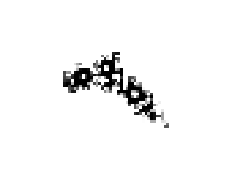 C[C@@H](Oc1ccc(CNC(=O)c2cc(F)cnc2Oc2ccc3c(c2)OCO3)c(F)c1)C(N)=S